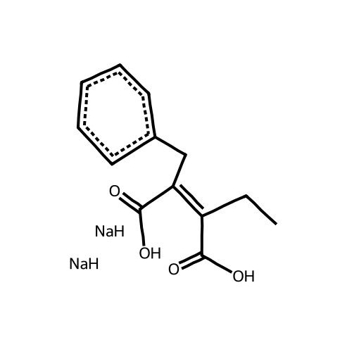 CC/C(C(=O)O)=C(\Cc1ccccc1)C(=O)O.[NaH].[NaH]